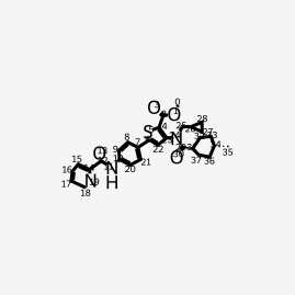 COC(=O)c1sc(-c2ccc(NC(=O)c3ccccn3)cc2)cc1N(CC1CC1)C(=O)[C@H]1CC[C@H](C)CC1